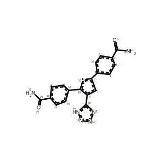 NC(=O)c1ccc(-c2cc(-c3nnn[nH]3)c(-c3ccc(C(N)=O)cc3)s2)cc1